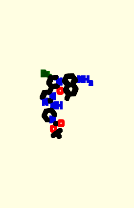 Cc1ccc2c(N)cccc2c1Oc1ncc(Br)cc1-c1ccnc(NC2CCCN(C(=O)OC(C)(C)C)C2)n1